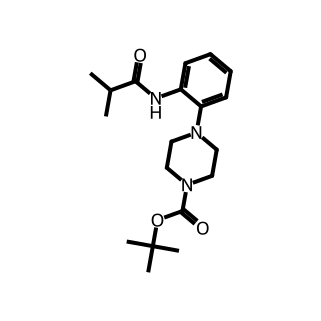 CC(C)C(=O)Nc1ccccc1N1CCN(C(=O)OC(C)(C)C)CC1